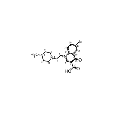 CN1CCN(CCn2cc(C(=O)O)c(=O)c3cc(I)ccc32)CC1